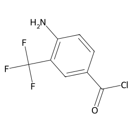 Nc1ccc(C(=O)Cl)cc1C(F)(F)F